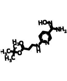 CC(C)(C)OC(=O)CCNc1ccc(/C(N)=N\O)cn1